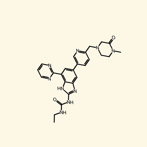 CCNC(=O)Nc1nc2cc(-c3ccc(CN4CCN(C)C(=O)C4)nc3)cc(-c3ncccn3)c2[nH]1